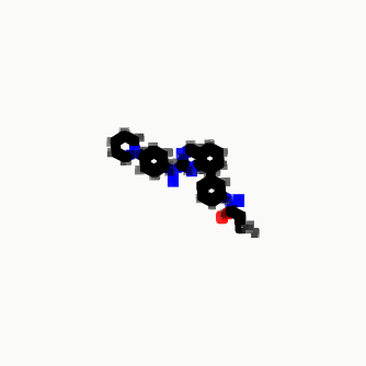 C=CC(=O)Nc1cccc(-c2cccc3cnc(Nc4ccc(N5CCCCC5)cc4)nc23)c1